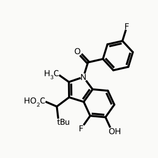 Cc1c(C(C(=O)O)C(C)(C)C)c2c(F)c(O)ccc2n1C(=O)c1cccc(F)c1